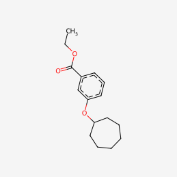 CCOC(=O)c1cccc(OC2CCCCCC2)c1